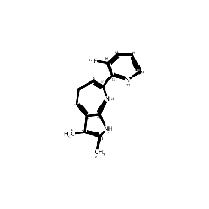 Cc1[nH]c2c(c1C)=CCC=C(c1ncccc1F)N=2